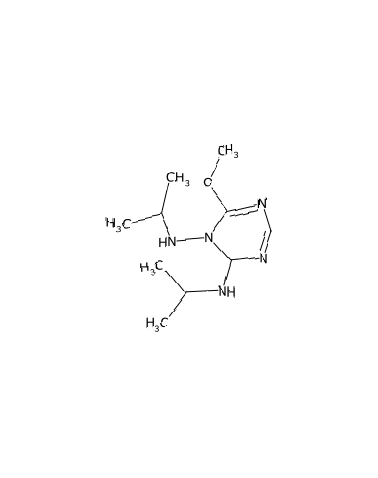 COC1=NC=NC(NC(C)C)N1NC(C)C